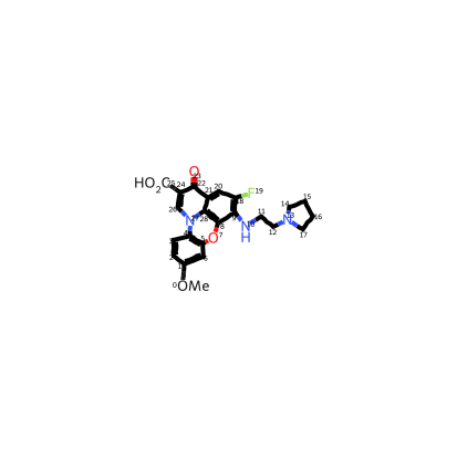 COc1ccc2c(c1)Oc1c(NCCN3CCCC3)c(F)cc3c(=O)c(C(=O)O)cn-2c13